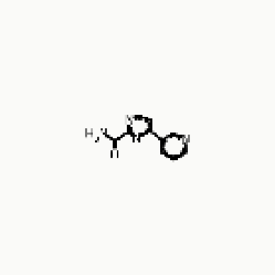 NC(=O)c1nccc(-c2cccnc2)n1